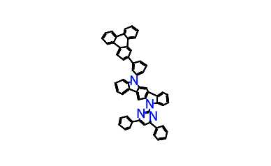 c1ccc(-c2cc(-c3ccccc3)nc(-n3c4ccccc4c4cc5c(cc43)c3ccccc3n5-c3cccc(-c4ccc5c6ccccc6c6ccccc6c5c4)c3)n2)cc1